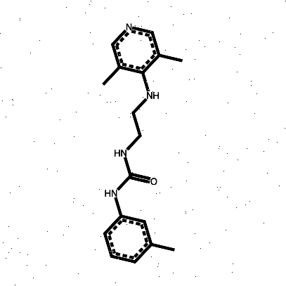 Cc1cccc(NC(=O)NCCNc2c(C)cncc2C)c1